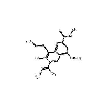 CCCc1c(O)c(/C(C)=N/C)cc2c(NC)cc(C(=O)NC)nc12